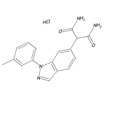 Cc1cccc(-n2ncc3ccc(C(C(N)=O)C(N)=O)cc32)c1.Cl